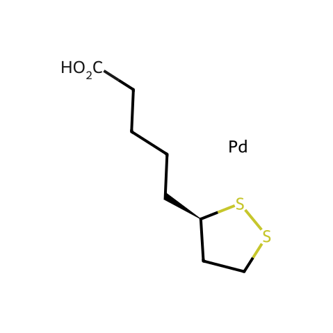 O=C(O)CCCC[C@@H]1CCSS1.[Pd]